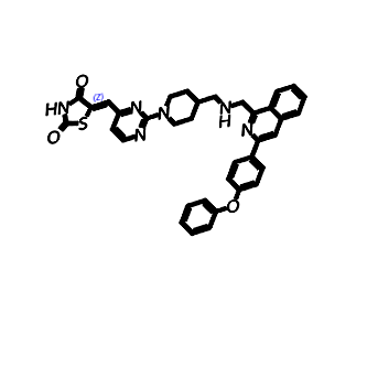 O=C1NC(=O)/C(=C/c2ccnc(N3CCC(CNCc4nc(-c5ccc(Oc6ccccc6)cc5)cc5ccccc45)CC3)n2)S1